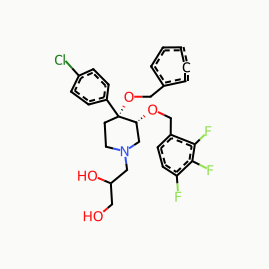 OCC(O)CN1CC[C@@](OCc2ccccc2)(c2ccc(Cl)cc2)[C@H](OCc2ccc(F)c(F)c2F)C1